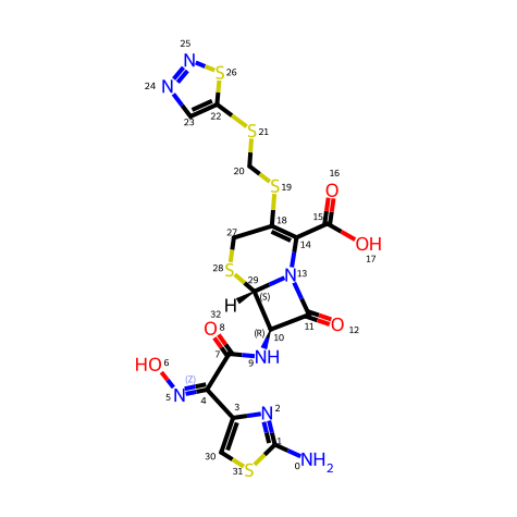 Nc1nc(/C(=N/O)C(=O)N[C@@H]2C(=O)N3C(C(=O)O)=C(SCSc4cnns4)CS[C@@H]23)cs1